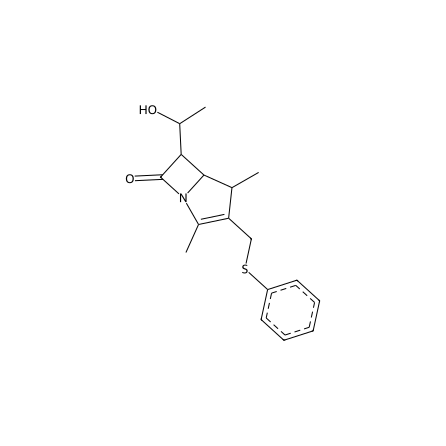 CC1=C(CSc2ccccc2)C(C)C2C(C(C)O)C(=O)N12